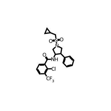 O=C(NC1CN(S(=O)(=O)CC2CC2)CC1c1ccccc1)c1cccc(C(F)(F)F)c1Cl